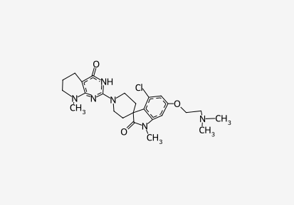 CN(C)CCOc1cc(Cl)c2c(c1)N(C)C(=O)C21CCN(c2nc3c(c(=O)[nH]2)CCCN3C)CC1